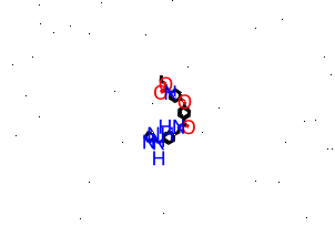 CCOC(=O)N1CCC(Oc2ccc(C(=O)NCc3ccc(NC4=NCCN4)cc3)cc2)CC1